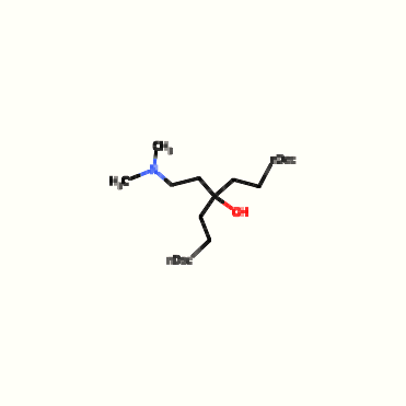 CCCCCCCCCCCCC(O)(CCCCCCCCCCCC)CCN(C)C